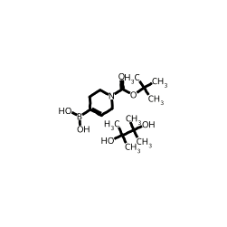 CC(C)(C)OC(=O)N1CC=C(B(O)O)CC1.CC(C)(O)C(C)(C)O